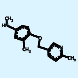 CNc1ccc(OCc2ccc(C)nc2)c(C)c1